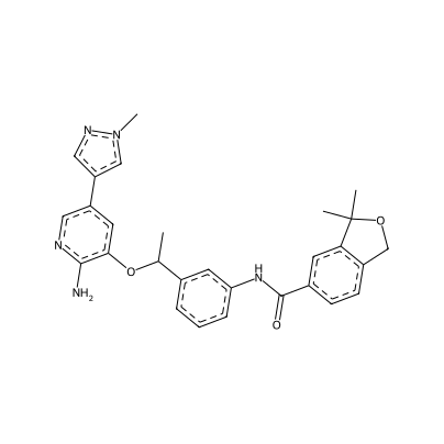 CC(Oc1cc(-c2cnn(C)c2)cnc1N)c1cccc(NC(=O)c2ccc3c(c2)C(C)(C)OC3)c1